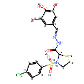 O=C(N/N=C/c1cc(Br)c(O)c(Br)c1)C1SCCN1S(=O)(=O)c1ccc(Cl)cc1